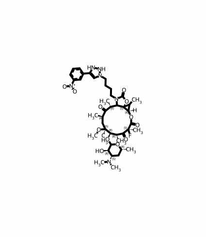 CO[C@@]1(C)C[C@@H](C)C(=O)[C@H](C)C2N(CCCCN3C=C(c4cccc([N+](=O)[O-])c4)NN3)C(=O)O[C@@]23C(C)[C@H]3OC(=O)[C@@](C)(F)C(=O)[C@H](C)[C@H]1OC1O[C@H](C)C[C@H](N(C)C)[C@H]1O